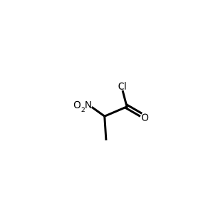 CC(C(=O)Cl)[N+](=O)[O-]